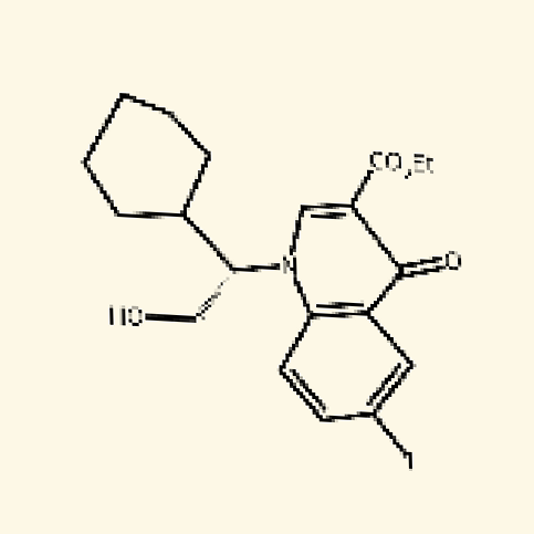 CCOC(=O)c1cn([C@H](CO)C2CCCCC2)c2ccc(I)cc2c1=O